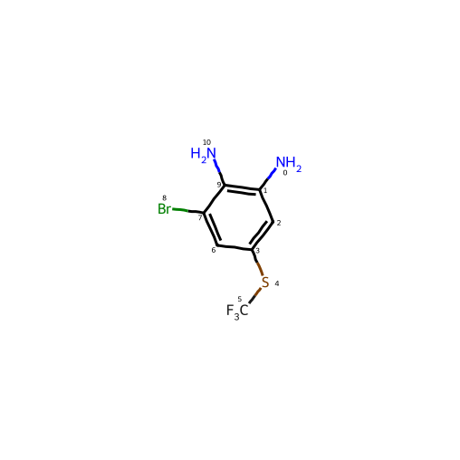 Nc1cc(SC(F)(F)F)cc(Br)c1N